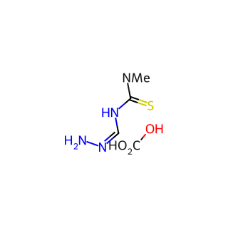 CNC(=S)N/C=N\N.O=C(O)O